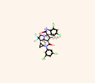 O=C(O)[C@H]1[C@@H](C(=O)N(c2cc(Cl)cc(Cl)c2)C2CC2)[C@H]2CC(F)(F)CN2[C@]12C(=O)Nc1c(Cl)cc(Cl)cc12